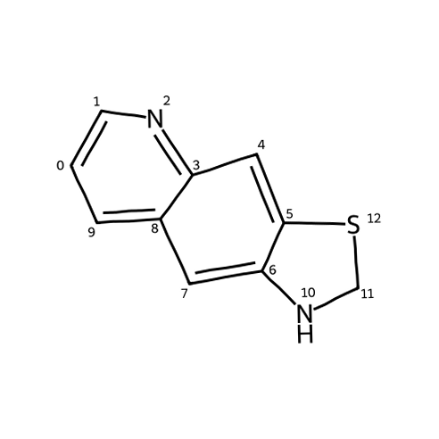 c1cnc2cc3c(cc2c1)NCS3